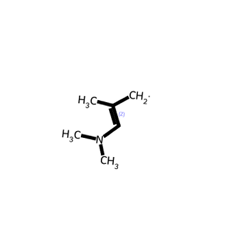 [CH2]/C(C)=C/N(C)C